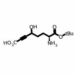 CC(C)(C)OC(=O)[C@@H](N)CCC(O)C#CC(=O)O